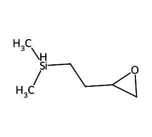 C[SiH](C)CCC1CO1